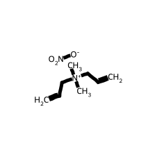 C=CC[N+](C)(C)CC=C.O=[N+]([O-])[O-]